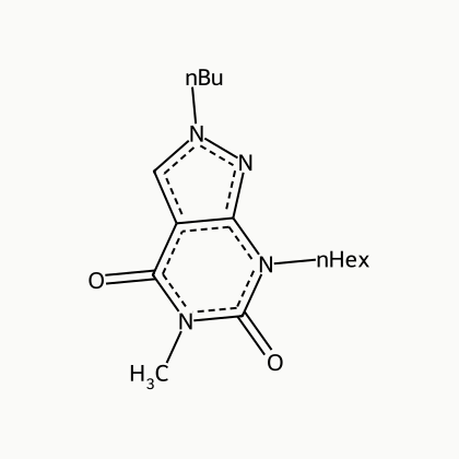 CCCCCCn1c(=O)n(C)c(=O)c2cn(CCCC)nc21